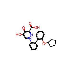 O=C(O)c1nn(-c2ccccc2-c2ccccc2OC2CCCC2)cc(O)c1=O